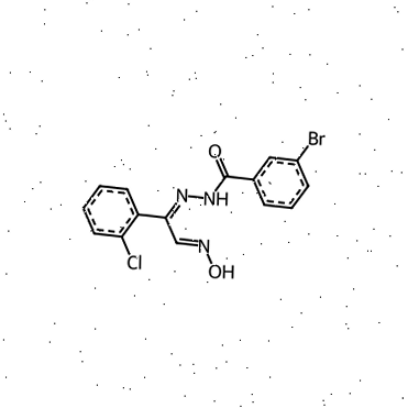 O=C(NN=C(C=NO)c1ccccc1Cl)c1cccc(Br)c1